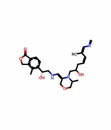 C=N/C=C(C#N)\C=C/CC(O)CN1/C(=C/NC[C@H](O)c2ccc3c(c2C)COC3=O)COCC1C